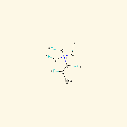 CCCCC(F)C(F)[N+](CF)(CF)CF